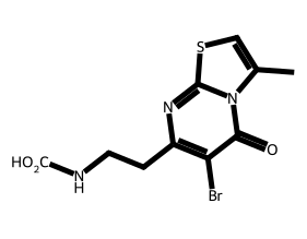 Cc1csc2nc(CCNC(=O)O)c(Br)c(=O)n12